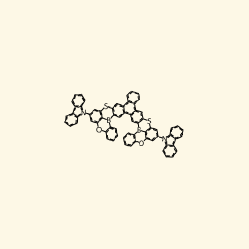 c1ccc2c(c1)Oc1cc(-n3c4ccccc4c4ccccc43)cc3c1B2c1cc2c(cc1S3)c1ccccc1c1cc3c(cc12)B1c2ccccc2Oc2cc(-n4c5ccccc5c5ccccc54)cc(c21)S3